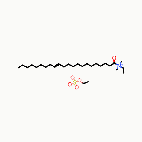 CCCCCCCCC=CCCCCCCCCCCCC(=O)[N+](C)(C)CC.CCOS(=O)(=O)[O-]